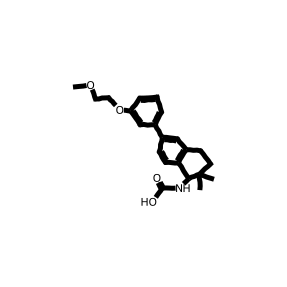 COCCOc1cccc(-c2ccc3c(c2)CCC(C)(C)C3NC(=O)O)c1